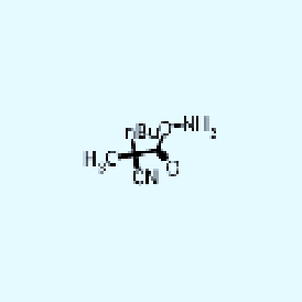 CCCCC(C)(C#N)C(=O)ON